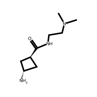 CN(C)CCNC(=O)[C@H]1C[C@H](N)C1